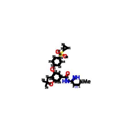 CN/C=C\C(=N)NC(=O)c1cc(Oc2ccc(S(=O)(=O)C3CC3)cc2)c2c(c1)OC(C)(C)C2